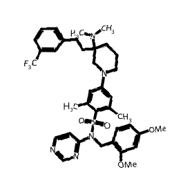 COc1ccc(CN(c2ccncn2)S(=O)(=O)c2c(C)cc(N3CCCC(CCc4cccc(C(F)(F)F)c4)(N(C)C)C3)cc2C)c(OC)c1